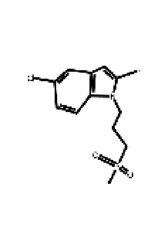 [CH2]c1cc2cc(Cl)ccc2n1CCCS(C)(=O)=O